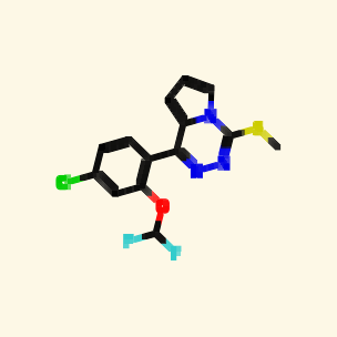 CSc1nnc(-c2ccc(Cl)cc2OC(F)F)c2cccn12